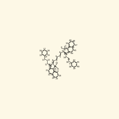 CC1(C)C(/C=C/C=C/C=C2/N(CCCc3ccccc3)c3ccc4ccccc4c3C2(C)C)=[N+](CCCc2ccccc2)c2ccc3ccccc3c21